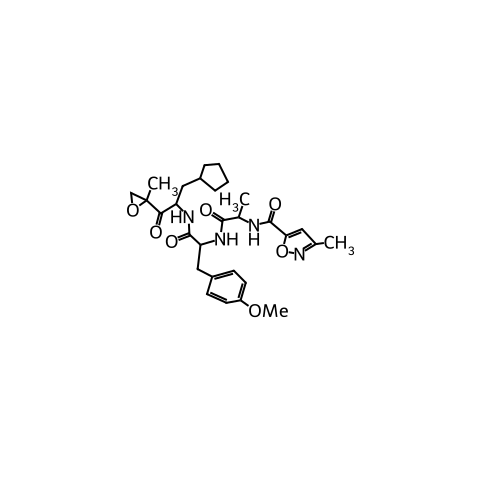 COc1ccc(CC(NC(=O)C(C)NC(=O)c2cc(C)no2)C(=O)NC(CC2CCCC2)C(=O)C2(C)CO2)cc1